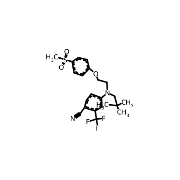 CC(C)(C)CN(CCOc1ccc(S(C)(=O)=O)cc1)c1ccc(C#N)c(C(F)(F)F)c1